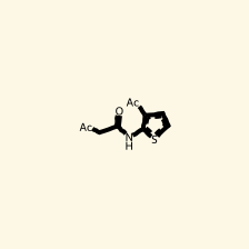 CC(=O)CC(=O)Nc1sccc1C(C)=O